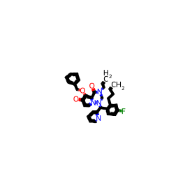 C=CCCc1cc(F)ccc1C(c1ccccn1)N1CN(CC=C)C(=O)c2c(OCc3ccccc3)c(=O)ccn21